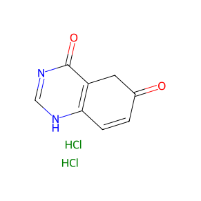 Cl.Cl.O=C1C=Cc2[nH]cnc(=O)c2C1